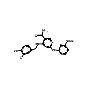 CC(=O)Nc1cccc(Nc2ncc(C(N)=O)c(NCc3ccc(Cl)c(Cl)c3)n2)c1